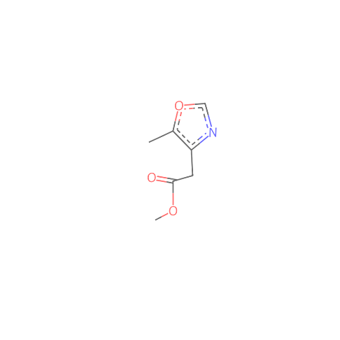 COC(=O)Cc1ncoc1C